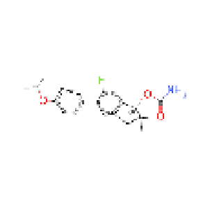 CC(C)Oc1ccc(-c2cc3c(cc2F)[C@H](OC(N)=O)C(C)(C)C3)cc1